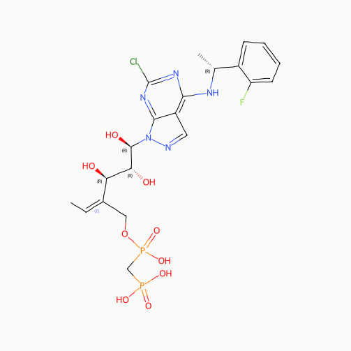 C/C=C(/COP(=O)(O)CP(=O)(O)O)[C@@H](O)[C@@H](O)[C@@H](O)n1ncc2c(N[C@H](C)c3ccccc3F)nc(Cl)nc21